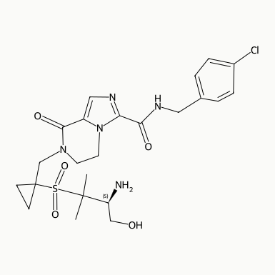 CC(C)([C@@H](N)CO)S(=O)(=O)C1(CN2CCn3c(cnc3C(=O)NCc3ccc(Cl)cc3)C2=O)CC1